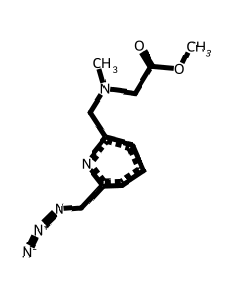 COC(=O)CN(C)Cc1cccc(CN=[N+]=[N-])n1